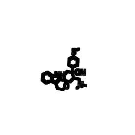 CSc1ccc(C2(O)CCC3(CC2CN(C)C)OCCc2c3[nH]c3ccccc23)cc1